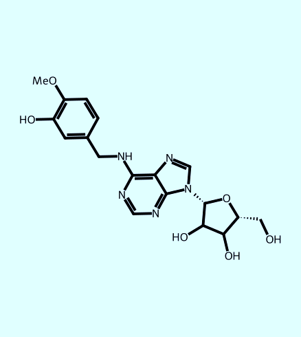 COc1ccc(CNc2ncnc3c2ncn3[C@@H]2O[C@H](CO)C(O)C2O)cc1O